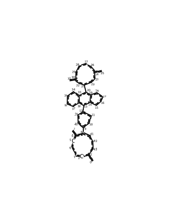 C=c1ccccc(=C)c(-c2ccc(-c3c4ccccc4c(-c4ccc(=C)ccccc(=C)c4)c4ccccc34)cc2)ccc1